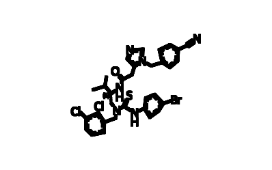 CC(C)[C@@H](CN(Cc1cccc(Cl)c1Cl)C(=S)Nc1ccc(Br)cc1)NC(=O)Cc1cncn1Cc1ccc(C#N)cc1